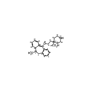 CN1Cc2ccccc2C(OCC[N+]2(C(=O)O)CCNCC2)=C2C=CC=CC21